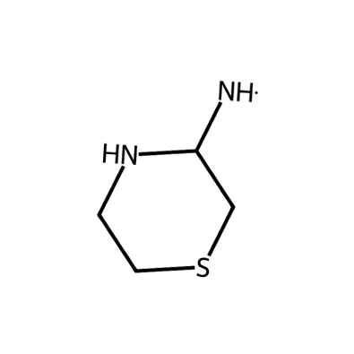 [NH]C1CSCCN1